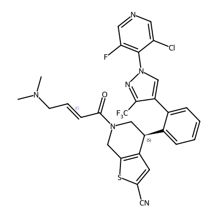 CN(C)C/C=C/C(=O)N1Cc2sc(C#N)cc2[C@H](c2ccccc2-c2cn(-c3c(F)cncc3Cl)nc2C(F)(F)F)C1